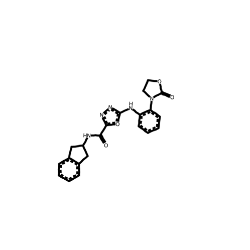 O=C(NC1Cc2ccccc2C1)c1nnc(Nc2ccccc2N2CCOC2=O)o1